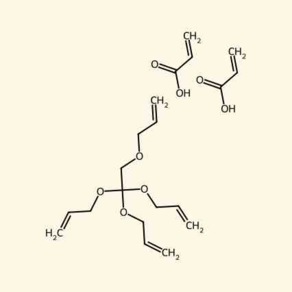 C=CC(=O)O.C=CC(=O)O.C=CCOCC(OCC=C)(OCC=C)OCC=C